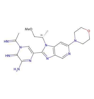 COC[C@H](C)n1c(-c2cn(C(C)=N)c(=N)c(N)n2)nc2cnc(N3CCOCC3)cc21